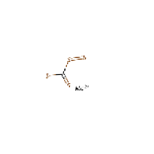 S=[S-]C(=S)[S-].[Mg+2]